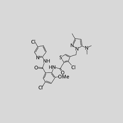 COc1cc(Cl)cc(C(=O)Nc2ccc(Cl)cn2)c1NC(=O)c1scc(Cn2nc(C)cc2N(C)C)c1Cl